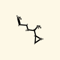 C=CCOC(C)C1CO1